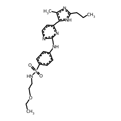 CCCc1nc(C)c(-c2ccnc(Nc3ccc(S(=O)(=O)NCCOCC)cc3)n2)[nH]1